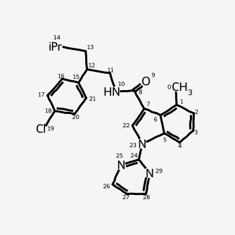 Cc1cccc2c1c(C(=O)NCC(CC(C)C)c1ccc(Cl)cc1)cn2-c1ncccn1